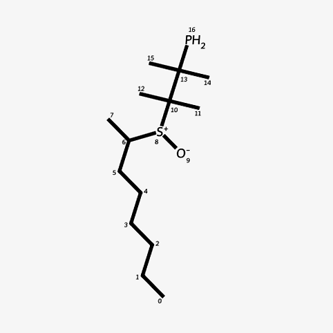 CCCCCCC(C)[S+]([O-])C(C)(C)C(C)(C)P